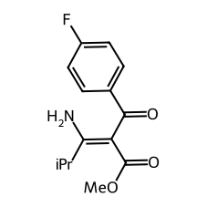 COC(=O)C(C(=O)c1ccc(F)cc1)=C(N)C(C)C